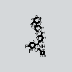 O=C(NC(c1ccc(F)c(F)c1)c1ccc(CN2CCC3(CC2)OCc2ccncc23)cn1)C1CCC1